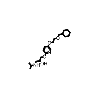 CC(C)NCC(O)COc1ccc(OCCOCC2CCCCC2)cn1